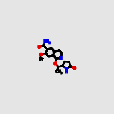 CC(C)Oc1cc2c(O[C@H](C)[C@H]3CCC(=O)N3)nccc2cc1C(N)=O